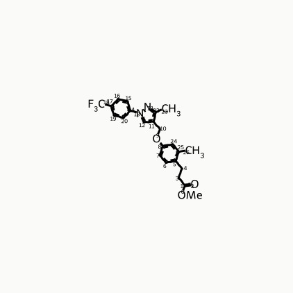 COC(=O)CCc1ccc(OCc2cn(-c3ccc(C(F)(F)F)cc3)nc2C)cc1C